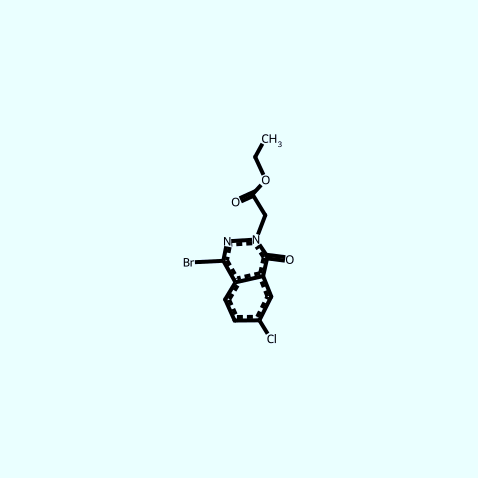 CCOC(=O)Cn1nc(Br)c2ccc(Cl)cc2c1=O